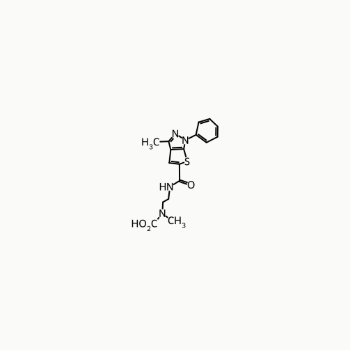 Cc1nn(-c2ccccc2)c2sc(C(=O)NCCN(C)C(=O)O)cc12